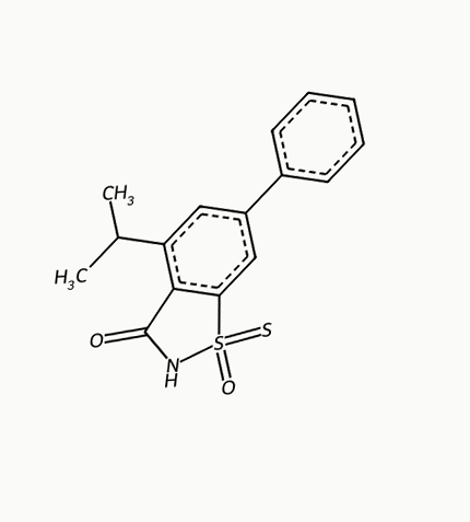 CC(C)c1cc(-c2ccccc2)cc2c1C(=O)NS2(=O)=S